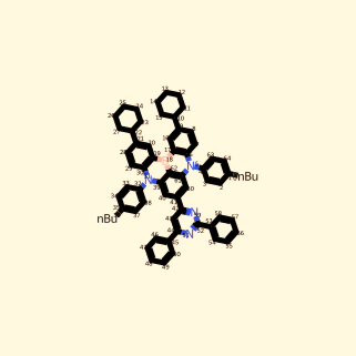 CCCCc1ccc(N2c3ccc(C4CCCCC4)cc3B3c4cc(C5CCCCC5)ccc4N(c4ccc(CCCC)cc4)c4cc(-c5cc(-c6ccccc6)nc(-c6ccccc6)n5)cc2c43)cc1